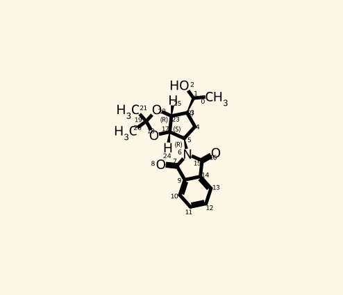 CC(O)[C@H]1C[C@@H](N2C(=O)c3ccccc3C2=O)[C@@H]2OC(C)(C)O[C@@H]21